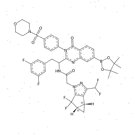 CC1(C)OB(c2ccc3c(=O)n(-c4ccc(S(=O)(=O)N5CCOCC5)cc4)c(C(Cc4cc(F)cc(F)c4)NC(=O)Cn4nc(C(F)F)c5c4C(F)(F)[C@H]4C[C@@H]54)nc3c2)OC1(C)C